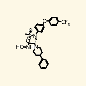 CS(=O)(=O)N(C[C@@H](C(=O)NO)N1CCC(c2ccccc2)CC1)c1ccc(Oc2ccc(C(F)(F)F)cc2)cc1